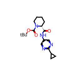 CC(C)(C)OC(=O)N1CCCC[C@@H]1C(=O)Nc1cnc(C2CC2)nc1